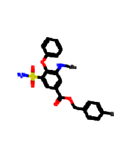 CCCCNc1cc(C(=O)OCc2ccc(OC)cc2)cc(S(N)(=O)=O)c1Oc1ccccc1